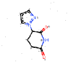 O=C1CCC(n2cccn2)C(=O)N1